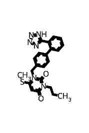 CCCn1c(=O)cc(SC)n(Cc2ccc(-c3ccccc3-c3nnn[nH]3)cc2)c1=O